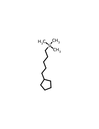 C[Si](C)(C)CCCCCC1CCCC1